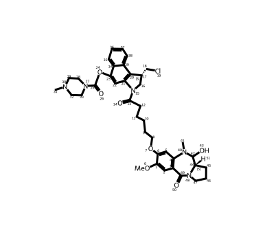 COc1cc2c(cc1OCCCCCC(=O)N1C[C@@H](CCl)c3c1cc(OC(=O)N1CCN(C)CC1)c1ccccc31)N(C)C(O)[C@@H]1CCCN1C2=O